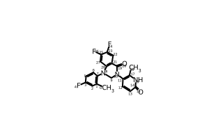 Cc1cc(F)ccc1N1CN(c2ccc(=O)[nH]c2C)C(=O)c2cc(F)c(F)cc21